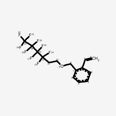 C=Cc1ccccc1COCCC(F)(F)C(F)(F)C(F)(F)C(F)(F)F